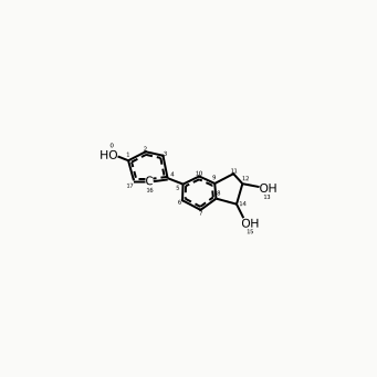 Oc1ccc(-c2ccc3c(c2)CC(O)C3O)cc1